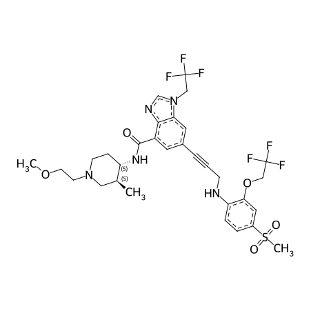 COCCN1CC[C@H](NC(=O)c2cc(C#CCNc3ccc(S(C)(=O)=O)cc3OCC(F)(F)F)cc3c2ncn3CC(F)(F)F)[C@@H](C)C1